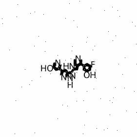 Oc1cncc(-c2cnc3[nH]nc(-c4cc5c(-c6cc(O)cc(F)c6)cncc5[nH]4)c3c2)c1